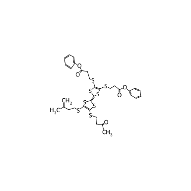 C=C(C)CCSC1=C(SCCC(C)=O)SC(=C2SC(SCCC(=O)Oc3ccccc3)=C(SCCC(=O)Oc3ccccc3)S2)S1